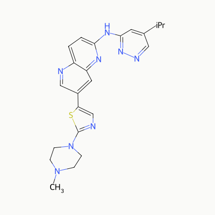 CC(C)c1cnnc(Nc2ccc3ncc(-c4cnc(N5CCN(C)CC5)s4)cc3n2)c1